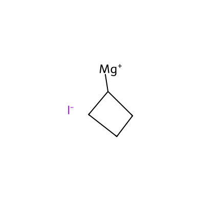 [I-].[Mg+][CH]1CCC1